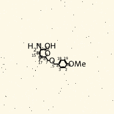 COc1ccc(COCC2OC(O)C(N)[C@@H](C)[C@@H]2C)cc1